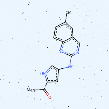 CNC(=O)c1cc(Nc2ncc3cc(C#N)ccc3n2)c[nH]1